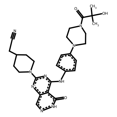 CC(C)(O)C(=O)N1CCN(c2ccc(Nc3nc(N4CCC(CC#N)CC4)nc4cn[nH]c(=O)c34)cc2)CC1